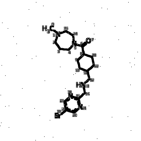 CN1CCCN(C(=O)C2CCC(CNCc3ncc(Br)cn3)CC2)CC1